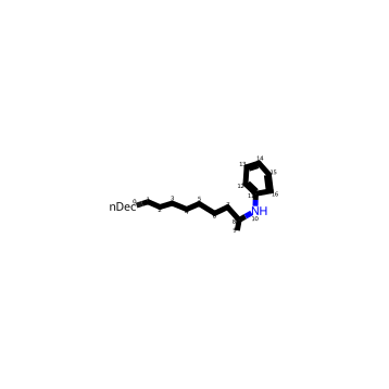 CCCCCCCCCCCCCCCCCC(C)Nc1ccccc1